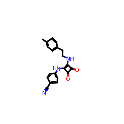 Cc1ccc(CCNc2c(Nc3ccc(C#N)cc3)c(=O)c2=O)cc1